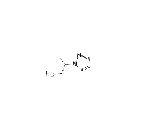 CC([CH]O)n1cccn1